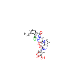 Cc1cccc(C(=O)NCC(=O)N2CCCC2C(=O)N[C@H](C=O)CC(=O)O)c1Cl